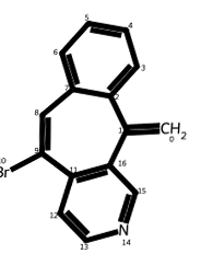 C=C1c2ccccc2C=C(Br)c2ccncc21